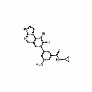 CCn1c(=O)c(-c2cc(OC)cc(C(=O)NC3CC3)c2)cc2cnc3[nH]ccc3c21